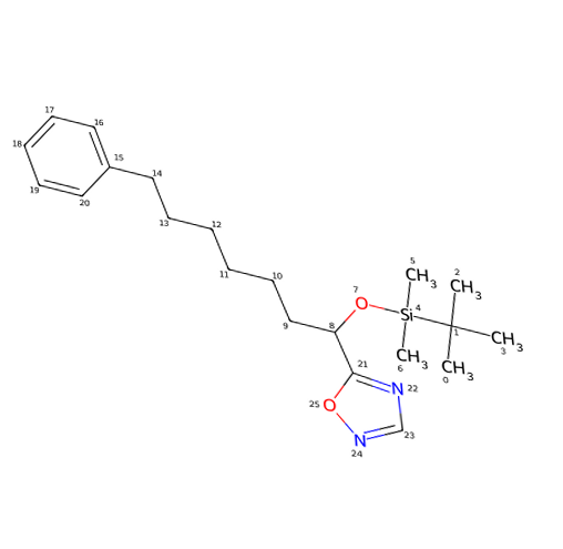 CC(C)(C)[Si](C)(C)OC(CCCCCCc1ccccc1)c1ncno1